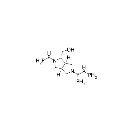 OC[C@@H]1[C@H]2CN(P(P)PP)C[C@H]2CN1PP